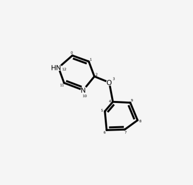 C1=C[C](Oc2ccccc2)N=CN1